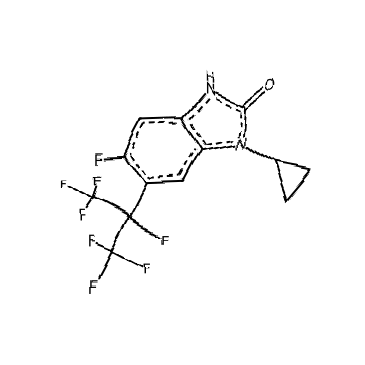 O=c1[nH]c2cc(F)c(C(F)(C(F)(F)F)C(F)(F)F)cc2n1C1CC1